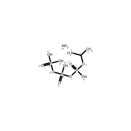 CC(N)OP(=O)(O)OP(=O)(O)OP(=O)(O)O.[AlH3]